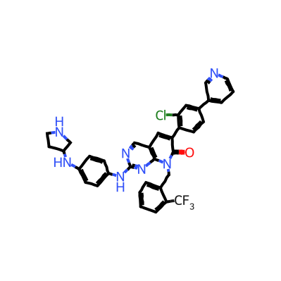 O=c1c(-c2ccc(-c3cccnc3)cc2Cl)cc2cnc(Nc3ccc(NC4CCNC4)cc3)nc2n1Cc1ccccc1C(F)(F)F